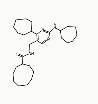 O=C(NCc1cnc(NC2CCCCCC2)nc1C1CCCCCC1)C1CCCCCCCC1